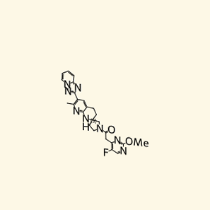 COc1ncc(F)c(CC(=O)N2CC[C@@]3(CCc4cc(-c5nc6ccccn6n5)c(C)nc4N3)C2)n1